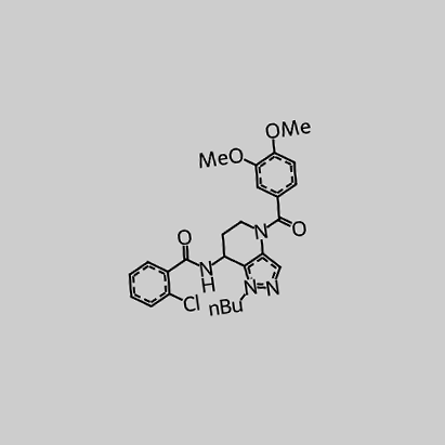 CCCCn1ncc2c1C(NC(=O)c1ccccc1Cl)CCN2C(=O)c1ccc(OC)c(OC)c1